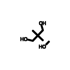 CC(C)(CO)CO.CO